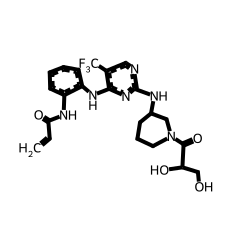 C=CC(=O)Nc1ccccc1Nc1nc(NC2CCCN(C(=O)C(O)CO)C2)ncc1C(F)(F)F